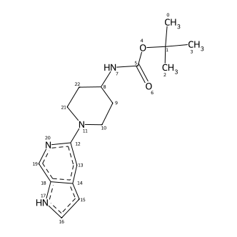 CC(C)(C)OC(=O)NC1CCN(c2cc3cc[nH]c3cn2)CC1